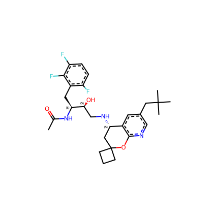 CC(=O)N[C@@H](Cc1c(F)ccc(F)c1F)[C@@H](O)CN[C@H]1CC2(CCC2)Oc2ncc(CC(C)(C)C)cc21